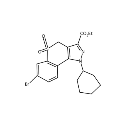 CCOC(=O)c1nn(C2CCCCC2)c2c1CS(=O)(=O)c1cc(Br)ccc1-2